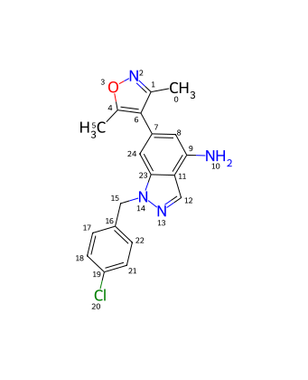 Cc1noc(C)c1-c1cc(N)c2cnn(Cc3ccc(Cl)cc3)c2c1